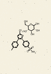 Cc1ccc(-c2cc(C(F)(F)F)nn2-c2ccc(S(N)(=O)=O)cc2)cc1.OC[C@H]1OC(O)[C@H](O)[C@@H](O)[C@@H]1O